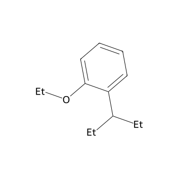 CCOc1ccccc1C(CC)CC